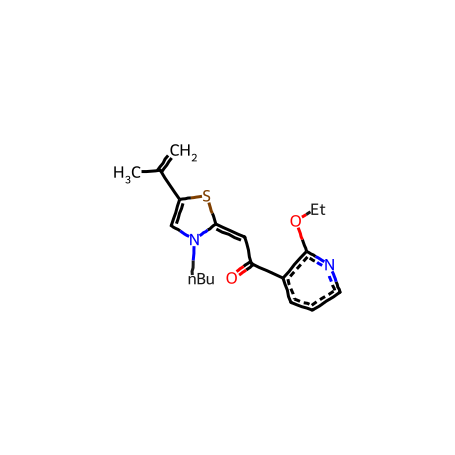 C=C(C)C1=CN(CCCC)C(=CC(=O)c2cccnc2OCC)S1